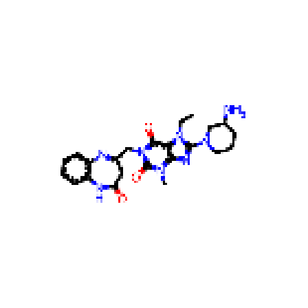 CCn1c(N2CCCC(N)C2)nc2c1c(=O)n(CC1=Nc3ccccc3NC(=O)C1)c(=O)n2C